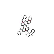 c1ccc(-c2cccc3cccc(-c4ccccc4N(c4ccc(-c5cccc6sc7ccccc7c56)cc4)c4ccccc4-c4cccc5c4sc4ccccc45)c23)cc1